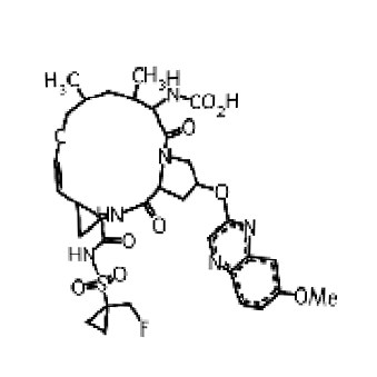 COc1ccc2ncc(OC3CC4C(=O)NC5(C(=O)NS(=O)(=O)C6(CF)CC6)CC5C=CCCC(C)CC(C)C(NC(=O)O)C(=O)N4C3)nc2c1